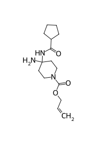 C=CCOC(=O)N1CCC(N)(NC(=O)C2CCCC2)CC1